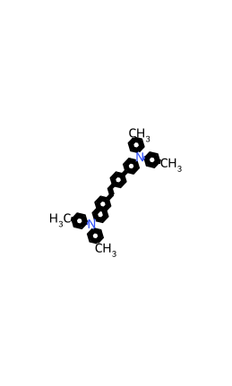 Cc1ccc(N(c2ccc(C)cc2)c2ccc(-c3ccc(/C=C/c4ccc5cc(N(c6ccc(C)cc6)c6ccc(C)cc6)ccc5c4)cc3)cc2)cc1